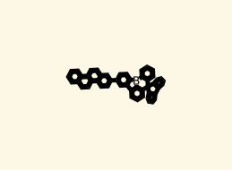 c1ccc2c(c1)B1c3ccc(-c4ccc5c(ccc6c7ccccc7ccc56)c4)cc3-c3cccc(c31)C21c2ccccc2-c2ccccc21